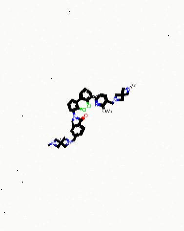 COc1nc(-c2cccc(-c3cccc(N4Cc5cc(CN6CC7(CN(C)C7)C6)ccc5C4=O)c3Cl)c2Cl)ccc1CN1CC2(C1)CN(C(C)=O)C2